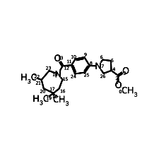 COC(=O)C1CCN(c2ccc(C(=O)N3CCC(C)(C)CC(C)C3)cc2)C1